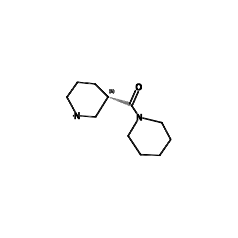 O=C([C@H]1CCC[N]C1)N1CCCCC1